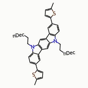 CCCCCCCCCCCCn1c2ccc(-c3ccc(C)s3)cc2c2cc3c(cc21)c1cc(-c2ccc(C)s2)ccc1n3CCCCCCCCCCCC